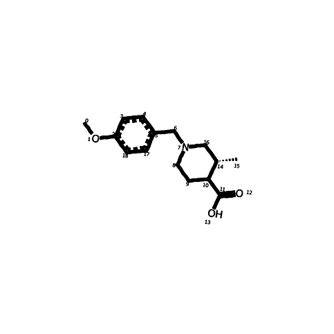 COc1ccc(CN2CCC(C(=O)O)[C@@H](C)C2)cc1